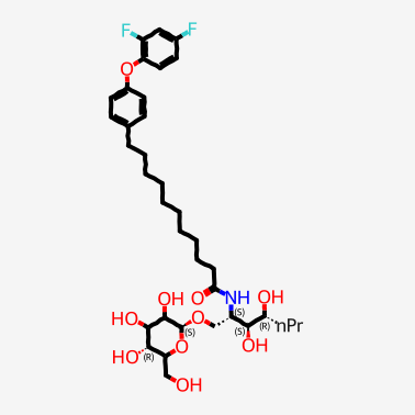 CCC[C@@H](O)[C@@H](O)[C@H](CO[C@H]1OC(CO)[C@H](O)C(O)C1O)NC(=O)CCCCCCCCCCc1ccc(Oc2ccc(F)cc2F)cc1